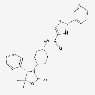 CC1(C)OC(=O)N(C2CCC(NC(=O)c3csc(-c4cccnc4)n3)CC2)[C@H]1c1ccccc1